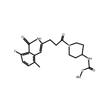 Cc1ccc(F)c2c(=O)[nH]c(CCC(=O)N3CCC(NC(=O)OC(C)(C)C)CC3)cc12